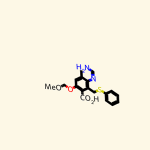 COCOc1cc(C)c(/N=C\N)c(CSc2ccccc2)c1C(=O)O